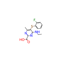 CCNc1nc(C(=O)O)nc(C)c1Sc1ccccc1F